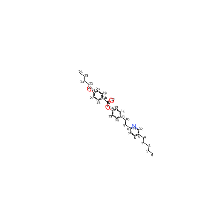 CCCCCc1ccc(CCc2ccc(OC(=O)c3ccc(OCCCC)cc3)cc2)nc1